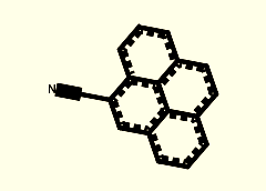 N#Cc1cc2cccc3ccc4c[c]cc1c4c32